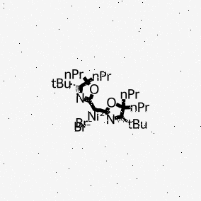 CCCC1(CCC)OC(CC2=N[C@H](C(C)(C)C)C(CCC)(CCC)O2)=N[C@@H]1C(C)(C)C.[Br-].[Br-].[Ni+2]